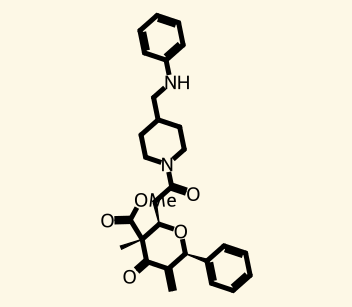 C=C1C(=O)[C@](C)(C(=O)OC)[C@@H](CC(=O)N2CCC(CNc3ccccc3)CC2)O[C@H]1c1ccccc1